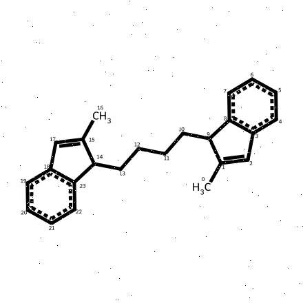 CC1=Cc2ccccc2C1CCCCC1C(C)=Cc2ccccc21